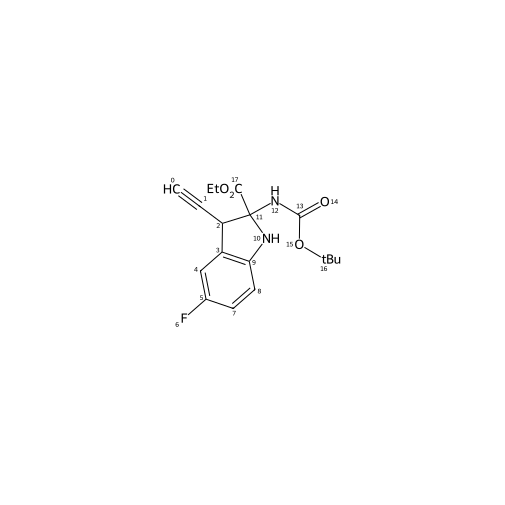 C#CC1c2cc(F)ccc2NC1(NC(=O)OC(C)(C)C)C(=O)OCC